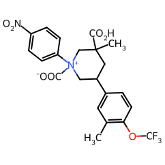 Cc1cc(C2CC(C)(C(=O)O)C[N+](C(=O)[O-])(c3ccc([N+](=O)[O-])cc3)C2)ccc1OC(F)(F)F